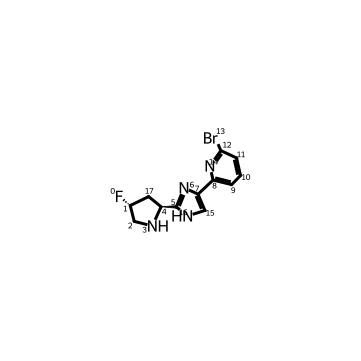 F[C@H]1CN[C@H](c2nc(-c3cccc(Br)n3)c[nH]2)C1